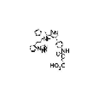 O=C(O)CCOC(=O)Nc1ccc(-c2cnnc([C@H](Cc3ccccc3)NCCCc3ccccc3-n3cnnn3)c2)cc1